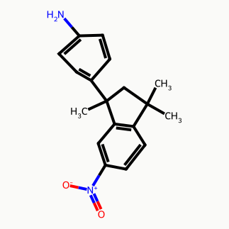 CC1(C)CC(C)(c2ccc(N)cc2)c2cc([N+](=O)[O-])ccc21